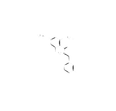 COc1cc(OC)c(C(=O)C=Cc2cccc(C(F)(F)F)c2)c(OC)c1